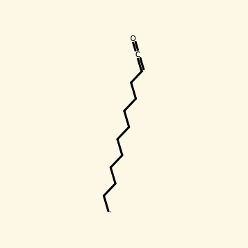 [CH2]CCCCCCCCCC=C=O